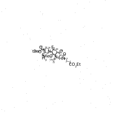 CCOC(=O)CCCNC(=O)c1cn(C2CC2)c2c(OC)c(N3CCN(C(=O)OC(C)(C)C)C(C)C3)c(F)cc2c1=O